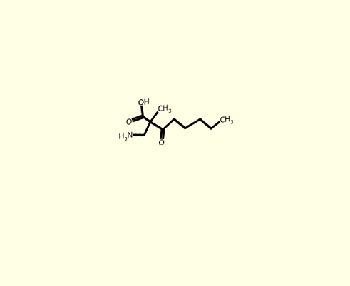 CCCCCC(=O)C(C)(CN)C(=O)O